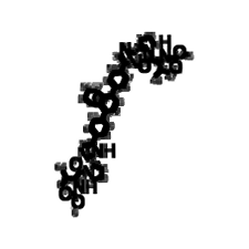 COC(=O)N[C@H](C(=O)N1CCC[C@H]1c1ncc(-c2ccc(-c3ccc(-c4ccc(-c5cnc([C@@H]6CCCN6C(=O)[C@@H](NC(=O)OC)C(C)C)[nH]5)cc4)c4c3C3CCC4O3)cc2)[nH]1)C(C)C